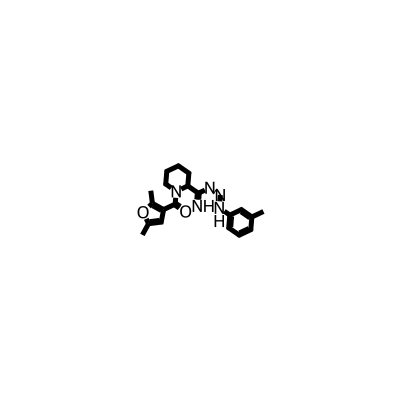 Cc1cccc(N/N=N\C(=N)C2CCCCN2C(=O)c2cc(C)oc2C)c1